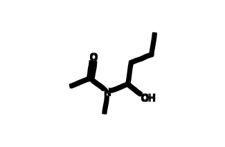 CCCC(O)N(C)C(C)=O